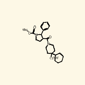 CC(C)(C)OC(=O)N1CCC(C(=O)N2CCC(C(=O)O)(C3CCCCC3)CC2)C1c1ccccc1